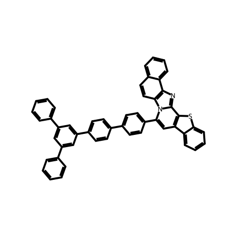 c1ccc(-c2cc(-c3ccccc3)cc(-c3ccc(-c4ccc(-c5cc6c7ccccc7sc6c6nc7c8ccccc8ccc7n56)cc4)cc3)c2)cc1